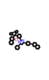 c1ccc(-c2cc(-c3ccc(-c4ccc5ccccc5c4)cc3)nc(-c3cccc4c3Oc3c(ccc5ccccc35)C43c4ccccc4-c4ccccc43)n2)cc1